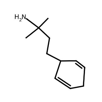 CC(C)(N)CCC1C=CCC=C1